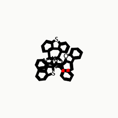 c1ccc(-c2nc(-c3ccccc3)nc(-c3cccc4sc5cccc(-c6nc(-c7cccc8c7oc7ccccc78)c7sc8ccccc8c7n6)c5c34)n2)cc1